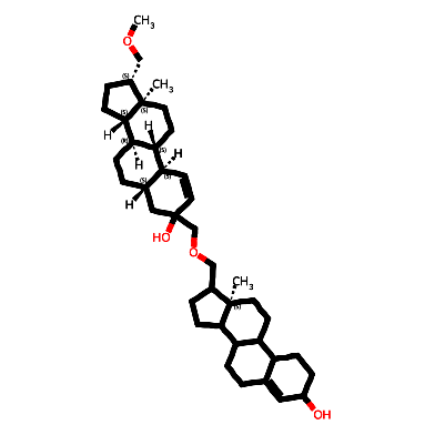 COC[C@H]1CC[C@H]2[C@@H]3CC[C@H]4CC(O)(COCC5CCC6C7CCC8=CC(O)CCC8C7CC[C@]56C)C=C[C@@H]4[C@H]3CC[C@]12C